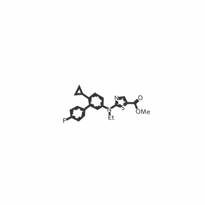 CCN(c1ccc(C2CC2)c(-c2ccc(F)cc2)c1)c1ncc(C(=O)OC)s1